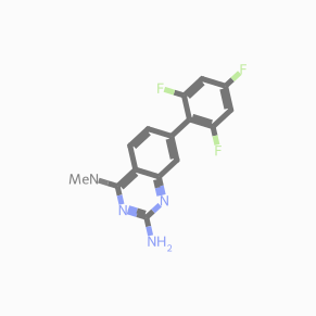 CNc1nc(N)nc2cc(-c3c(F)cc(F)cc3F)ccc12